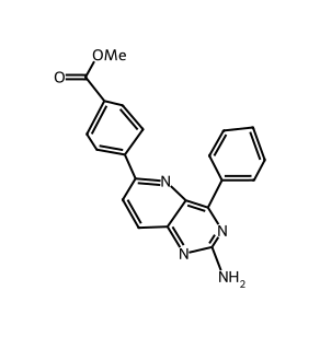 COC(=O)c1ccc(-c2ccc3nc(N)nc(-c4ccccc4)c3n2)cc1